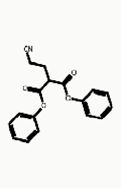 N#CCCC(C(=O)Oc1ccccc1)C(=O)Oc1ccccc1